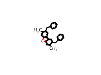 Cc1cc2oc3cc(C)c(Cc4ccccc4)cc3c2cc1Cc1ccccc1